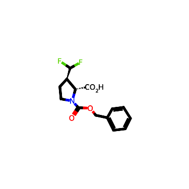 O=C(O)[C@H]1[C@H](C(F)F)CCN1C(=O)OCc1ccccc1